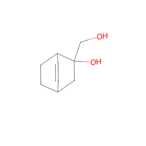 OCC1(O)CC2C=CC1CC2